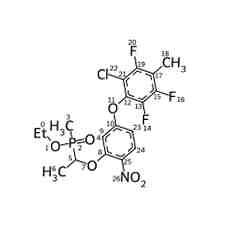 CCOP(C)(=O)C(C)Oc1cc(Oc2c(F)c(F)c(C)c(F)c2Cl)ccc1[N+](=O)[O-]